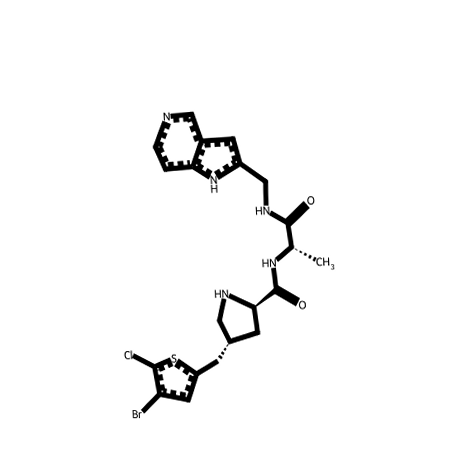 C[C@H](NC(=O)[C@H]1C[C@H](Cc2cc(Br)c(Cl)s2)CN1)C(=O)NCc1cc2cnccc2[nH]1